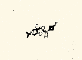 CC(C)N1C[C@H](OC(=O)NC23CC(F)(C2)C3)C(F)(F)C1